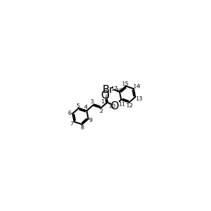 O=C(C=Cc1ccccc1)Oc1ccccc1Br